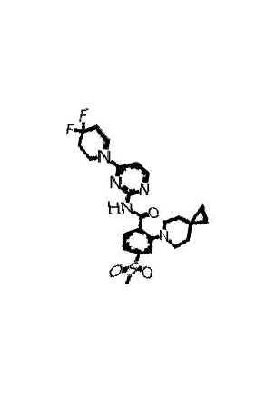 CS(=O)(=O)c1ccc(C(=O)Nc2nccc(N3CCC(F)(F)CC3)n2)c(N2CCC3(CC2)CC3)c1